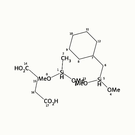 CO[SiH](C)OC.CO[SiH](CC1CCCCC1)OC.O=C(O)CCC(=O)O